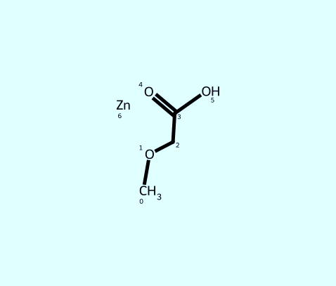 COCC(=O)O.[Zn]